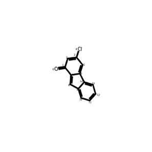 O=C1C=C(Cl)C=C2C1=Cc1ccccc12